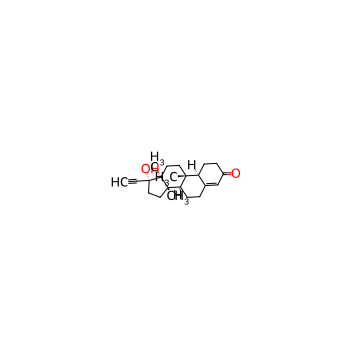 C#C[C@]1(O)CC[C@@]2(C)[C@@H]3CCC4=CC(=O)CC[C@@H]4[C@@]3(C)CC[C@@]21C